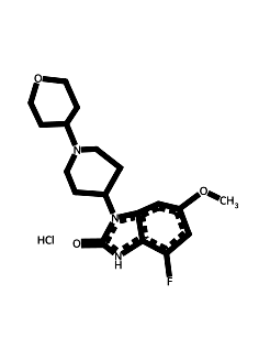 COc1cc(F)c2[nH]c(=O)n(C3CCN(C4CCOCC4)CC3)c2c1.Cl